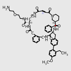 CCc1cc(OC)ccc1-c1ccc(C[C@@H]2NC(=O)[C@]3(Cc4ccccc4)CCCN(C3)C(=O)/C=C/C(=O)NCC[C@@H](C(=O)NCCOCCN)NC(=O)Cc3ccccc3CNC2=O)cc1